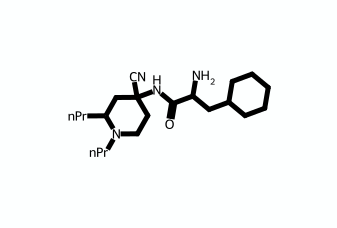 CCCC1CC(C#N)(NC(=O)C(N)CC2CCCCC2)CCN1CCC